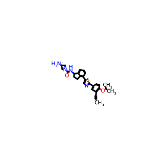 CC#Cc1cc(-c2ncc(-c3cccc4c3CCC4NC(=O)N3CC(N)C3)s2)ccc1OC(C)C